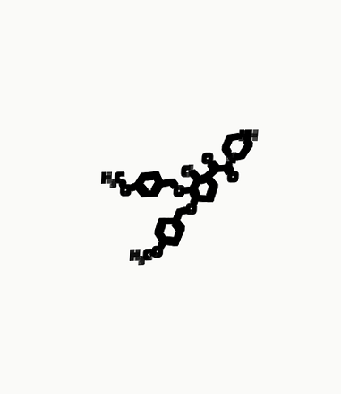 COc1ccc(COc2ccc(C(=O)C(=O)N3CCNCC3)c(Cl)c2OCc2ccc(OC)cc2)cc1